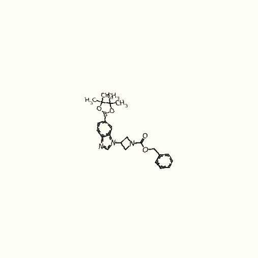 CC1(C)OB(c2ccc3ncn(C4CN(C(=O)OCc5ccccc5)C4)c3c2)OC1(C)C